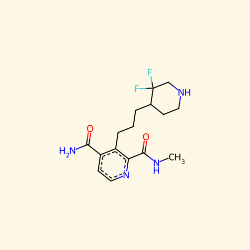 CNC(=O)c1nccc(C(N)=O)c1CCCC1CCNCC1(F)F